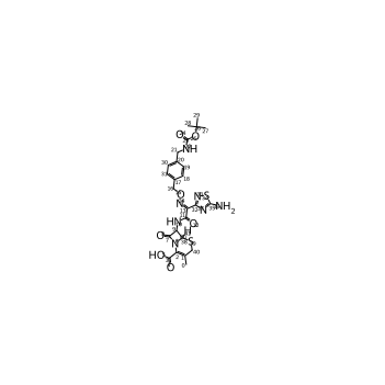 CC1=C(C(=O)O)N2C(=O)C(NC(=O)C(=NOCc3ccc(CNC(=O)OC(C)(C)C)cc3)c3nsc(N)n3)[C@@H]2SC1